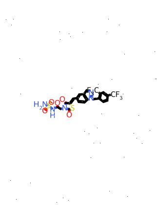 NS(=O)(=O)NC(=O)CN1C(=O)S/C(=C\c2ccc3c(cnn3Cc3ccc(C(F)(F)F)cc3C(F)(F)F)c2)C1=O